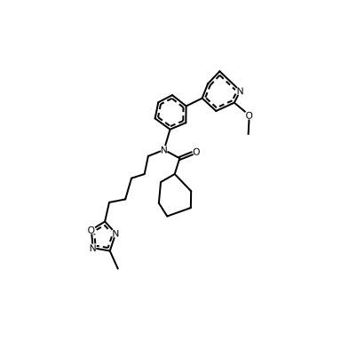 COc1cc(-c2cccc(N(CCCCCc3nc(C)no3)C(=O)C3CCCCC3)c2)ccn1